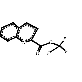 O=C(OC(F)(F)F)c1ccc2ccccc2n1